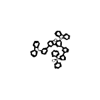 O=P(c1ccccc1)(c1ccccc1)c1cccc(-c2cccc(-c3cc(-n4c5ccccc5c5ccccc54)c4oc5ccc(-c6cccc(-n7c8ccccc8c8ccccc87)c6)cc5c4c3)c2)c1